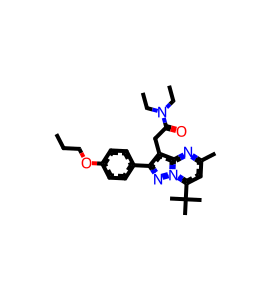 CCCOc1ccc(-c2nn3c(C(C)(C)C)cc(C)nc3c2CC(=O)N(CC)CC)cc1